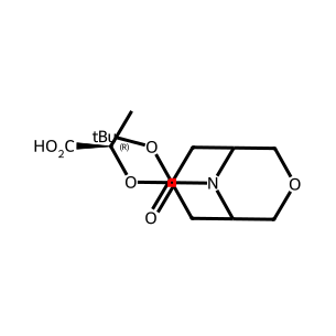 C[C@@H](OC1CC2COCC(C1)N2C(=O)OC(C)(C)C)C(=O)O